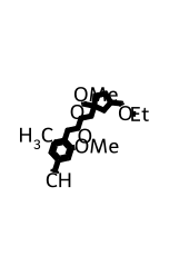 C#Cc1cc(C)c(CC(=O)CCC2(C(=O)OC)CCC(COCC)C2)c(OC)c1